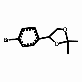 CC1(C)OCC(c2ccc(Br)cc2)O1